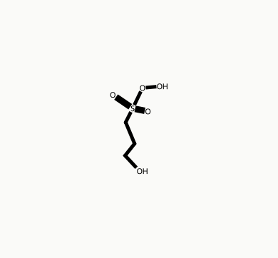 O=S(=O)(CCCO)OO